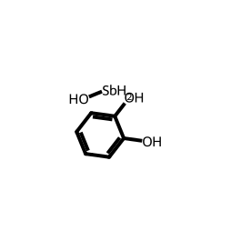 Oc1ccccc1O.[OH][SbH2]